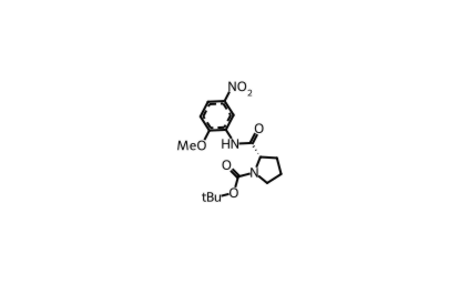 COc1ccc([N+](=O)[O-])cc1NC(=O)[C@@H]1CCCN1C(=O)OC(C)(C)C